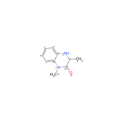 CC1Nc2c[c]ccc2N(C)C1=O